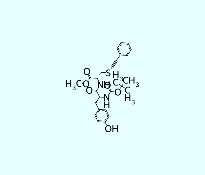 COC(=O)[C@H](CSC#Cc1ccccc1)NC(=O)[C@H](Cc1ccc(O)cc1)NC(=O)OC(C)(C)C